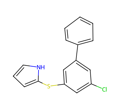 Clc1cc(Sc2ccc[nH]2)cc(-c2ccccc2)c1